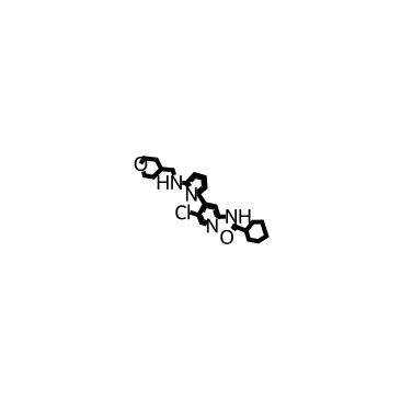 O=C(Nc1cc(-c2cccc(NCC3CCOCC3)n2)c(Cl)cn1)C1CCCCC1